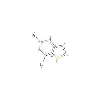 CCc1cc(C(C)C)nc2ccsc12